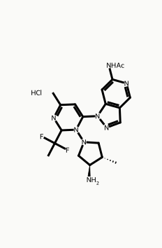 CC(=O)Nc1cc2c(cn1)cnn2C1=CC(C)=NC(C(C)(F)F)N1N1C[C@H](C)[C@@H](N)C1.Cl